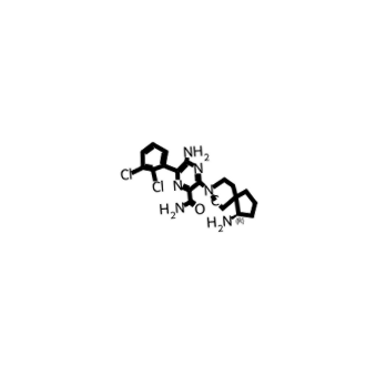 NC(=O)c1nc(-c2cccc(Cl)c2Cl)c(N)nc1N1CCC2(CCC[C@H]2N)CC1